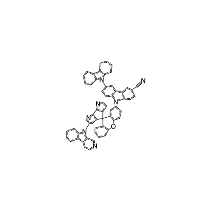 N#Cc1ccc2c(c1)c1cc(-n3c4ccccc4c4ccccc43)ccc1n2-c1ccc2c(c1)C1(c3ccccc3O2)c2cccnc2-c2ncc(-n3c4ccccc4c4ccncc43)cc21